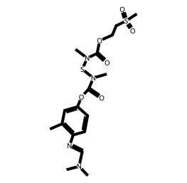 Cc1cc(OC(=O)N(C)SN(C)C(=O)OCCS(C)(=O)=O)ccc1N=CN(C)C